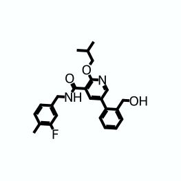 Cc1ccc(CNC(=O)c2cc(-c3ccccc3CO)cnc2OCC(C)C)cc1F